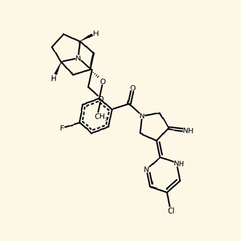 COCCN1[C@@H]2CC[C@H]1C[C@@H](Oc1cc(F)ccc1C(=O)N1CC(=N)/C(=C3/N=CC(Cl)=CN3)C1)C2